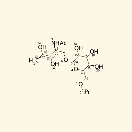 CCCOCC1O[C@H](OC[C@H](NC(C)=O)[C@H](O)[C@@H](C)O)C(O)C(O)[C@H]1O